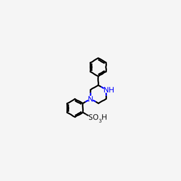 O=S(=O)(O)c1ccccc1N1CCNC(c2ccccc2)C1